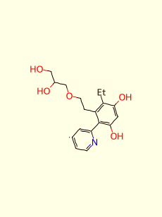 CCc1c(O)cc(O)c(-c2c[c]ccn2)c1CCOCC(O)CO